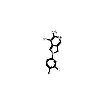 N#CC1=C(N)NC=C2CN(c3ccc(Br)c(Br)c3)C=C21